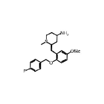 COc1ccc(OCc2ccc(F)cc2)c(CC2CC(N)CCN2C)c1